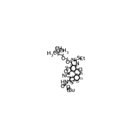 CCSc1nc(OCOCC[Si](C)(C)C)c2c3c(c(-c4c(F)ccc5sc(NC(=O)OC(C)(C)C)c(C#N)c45)c(Cl)c2n1)COC3